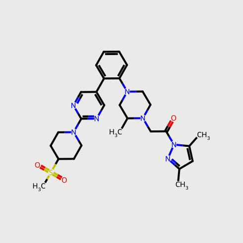 Cc1cc(C)n(C(=O)CN2CCN(c3ccccc3-c3cnc(N4CCC(S(C)(=O)=O)CC4)nc3)CC2C)n1